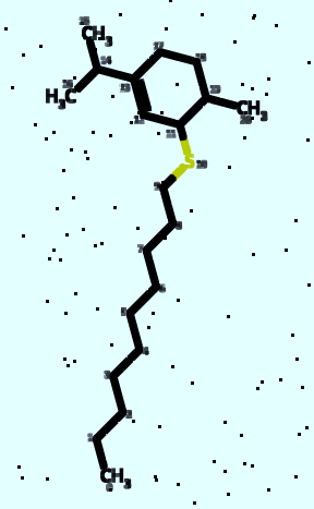 CCCCCCCCCCSC1C=C(C(C)C)CCC1C